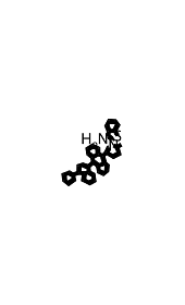 CC1C=CC(c2c3ccccc3c(-c3ccc(-c4ccccc4)c4ccccc34)c3ccccc23)=CN1c1sc2ccccc2c1N